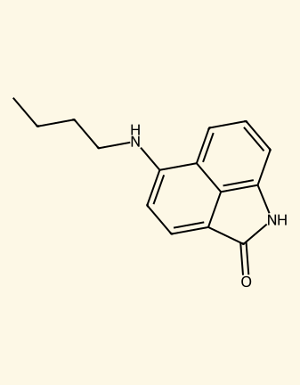 CCCCNc1ccc2c3c(cccc13)NC2=O